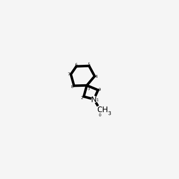 CN1CC2(CCCCC2)C1